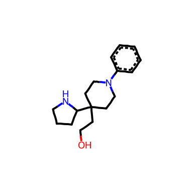 OCCC1(C2CCCN2)CCN(c2ccccc2)CC1